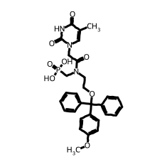 COc1ccc(C(OCCN(CP(=O)(O)O)C(=O)Cn2cc(C)c(=O)[nH]c2=O)(c2ccccc2)c2ccccc2)cc1